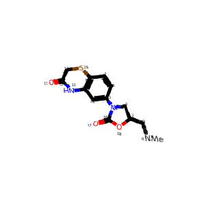 CNCC1CN(c2ccc3c(c2)NC(=O)CS3)C(=O)O1